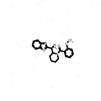 NC(c1nc2ccccc2o1)C1CCCCN1C(=O)c1ccccc1OC(F)(F)F